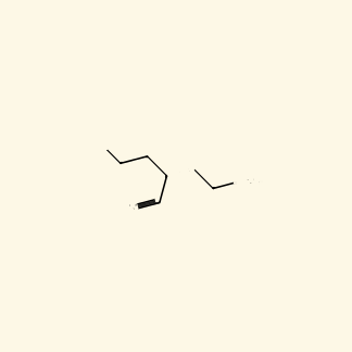 COCC[C@H](C=N)CCO